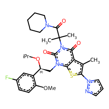 COc1ccc(F)cc1[C@H](Cn1c(=O)n(C(C)(C)C(=O)N2CCCCC2)c(=O)c2c(C)c(-n3cccn3)sc21)OC(C)C